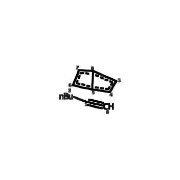 C#CCCCC.c1cc2ccc1-2